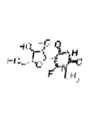 Cn1c(F)c([C@@H]2O[C@H](CO)[C@@H](O)[C@H]2O)c(=O)[nH]c1=O